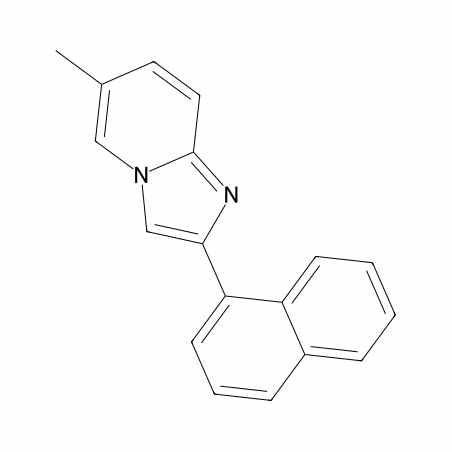 Cc1ccc2nc(-c3cccc4ccccc34)cn2c1